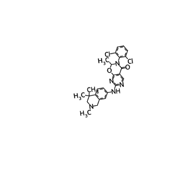 CC1Oc2nc(Nc3ccc4c(c3)CN(C)CC4(C)C)ncc2C(=O)N1c1c(Cl)cccc1Cl